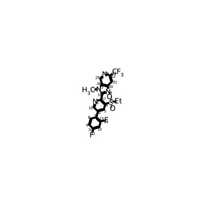 CCS(=O)(=O)c1cc(-c2ccc(F)cc2F)cnc1-c1nc2cc(C(F)(F)F)ncc2n1C